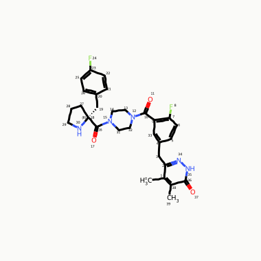 Cc1c(Cc2ccc(F)c(C(=O)N3CCN(C(=O)[C@]4(Cc5ccc(F)cc5)CCCN4)CC3)c2)n[nH]c(=O)c1C